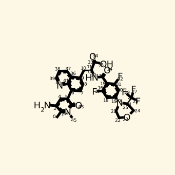 Cc1c(N)cc(-c2ccc(C[C@H](NC(=O)c3c(F)cc(N4CCOC[C@@H]4C(F)(F)F)cc3F)C(=O)O)c3cccnc23)c(=O)n1C